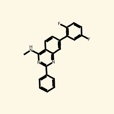 CNc1nc(-c2ccccc2)nc2cc(-c3cc(F)ccc3F)ccc12